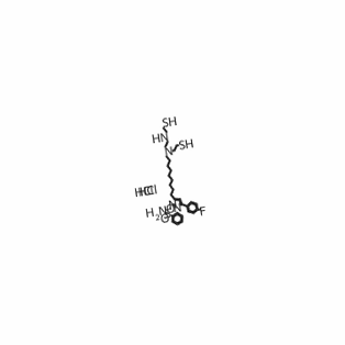 Cl.Cl.NS(=O)(=O)c1ccccc1-n1nc(CCCCCCCCCN(CCS)CCNCCS)cc1-c1ccc(F)cc1